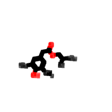 CCCCC(CC)COC(=O)Cc1cc(C)c(O)c(C(C)(C)C)c1